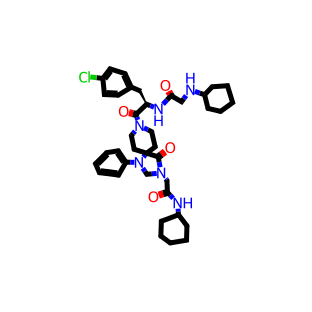 O=C(CN1CN(c2ccccc2)C2(CCN(C(=O)[C@@H](Cc3ccc(Cl)cc3)NC(=O)CNC3CCCCC3)CC2)C1=O)NC1CCCCC1